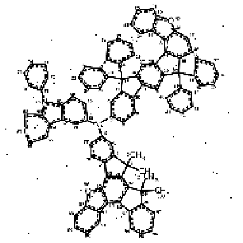 CC1(C)c2cc(N(c3ccc4c(c3)C(c3ccccc3)(c3ccccc3)c3cc5c(cc3-4)C(c3ccccc3)(c3ccccc3)c3ccc4oc6ccccc6c4c3-5)c3ccc4c(c3)c3ccccc3n4-c3ccccc3)ccc2-c2c1c1c(c3c2oc2ccccc23)-c2ccccc2C1(C)C